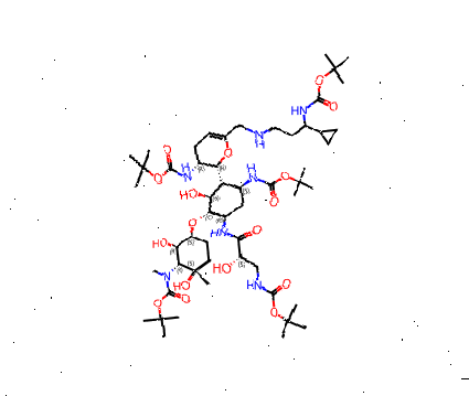 CN(C(=O)OC(C)(C)C)[C@@H]1[C@@H](O)[C@@H](O[C@H]2[C@H](NC(=O)[C@@H](O)CNC(=O)OC(C)(C)C)C[C@H](NC(=O)OC(C)(C)C)C([C@H]3OC(CNCCC(NC(=O)OC(C)(C)C)C4CC4)=CC[C@H]3NC(=O)OC(C)(C)C)[C@@H]2O)CC[C@]1(C)O